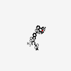 Cn1cc(-c2cccnc2[C@H](NC(=O)c2ccc3c(c2)CN([C@@H](CCC(=O)OC(C)(C)C)C(N)=O)C3=O)C2CCC2)cn1